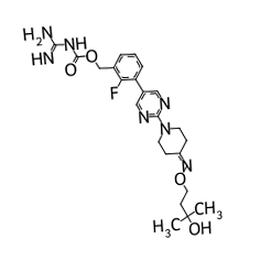 CC(C)(O)CCON=C1CCN(c2ncc(-c3cccc(COC(=O)NC(=N)N)c3F)cn2)CC1